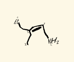 CCC(C)=CN